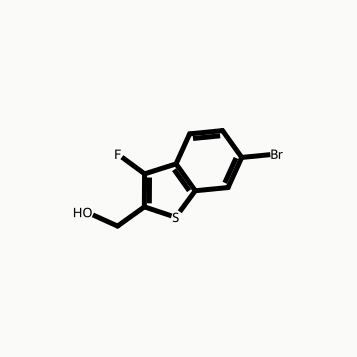 OCc1sc2cc(Br)ccc2c1F